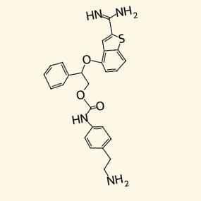 N=C(N)c1cc2c(OC(COC(=O)Nc3ccc(CCN)cc3)c3ccccc3)cccc2s1